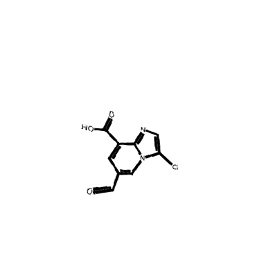 O=Cc1cc(C(=O)O)c2ncc(Cl)n2c1